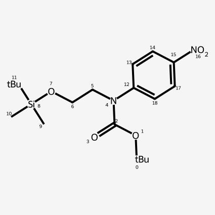 CC(C)(C)OC(=O)N(CCO[Si](C)(C)C(C)(C)C)c1ccc([N+](=O)[O-])cc1